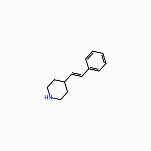 C(=C\C1CCNCC1)/c1ccccc1